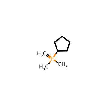 C=P(C)(C)C1CCCC1